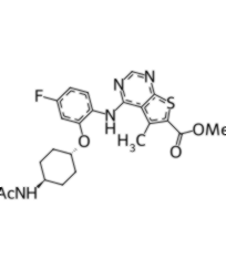 COC(=O)c1sc2ncnc(Nc3ccc(F)cc3O[C@H]3CC[C@H](NC(C)=O)CC3)c2c1C